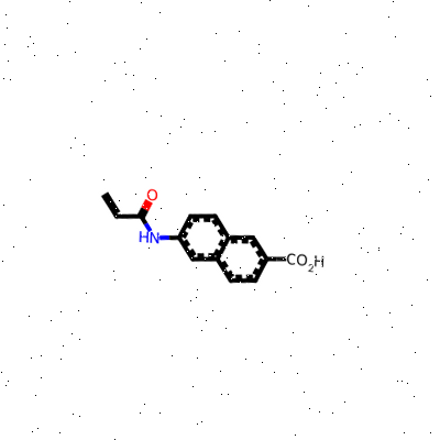 C=CC(=O)Nc1ccc2cc(C(=O)O)ccc2c1